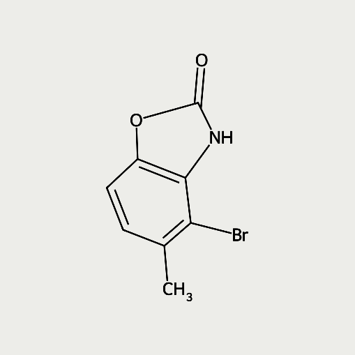 Cc1ccc2oc(=O)[nH]c2c1Br